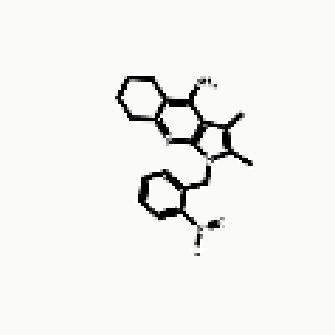 Cc1c(C)n(Cc2ccccc2[N+](=O)[O-])c2nc3c(c(N)c12)CCCC3